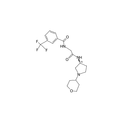 O=C(CNC(=O)c1cccc(C(F)(F)F)c1)N[C@H]1CCN(C2CCOCC2)C1